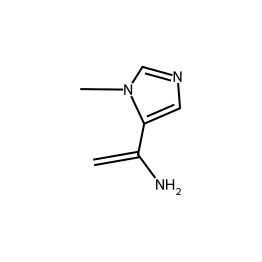 C=C(N)c1cncn1C